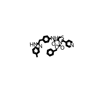 Cc1ccc2[nH]c(Cc3ccc(NC(=O)[C@@H]4CSC(c5ccncc5)N4C(=O)OCc4ccccc4)cc3)nc2c1